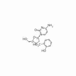 Nc1ccn([C@H]2CS[C@@H](CO)O2)c(=O)n1.O=C(O)c1ccccc1O